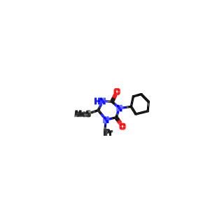 CSC1NC(=O)N(C2CCCCC2)C(=O)N1C(C)C